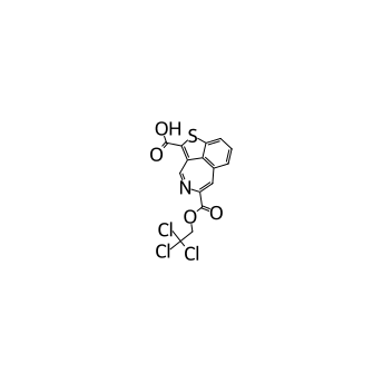 O=C(OCC(Cl)(Cl)Cl)C1=Cc2cccc3sc(C(=O)O)c(c23)C=N1